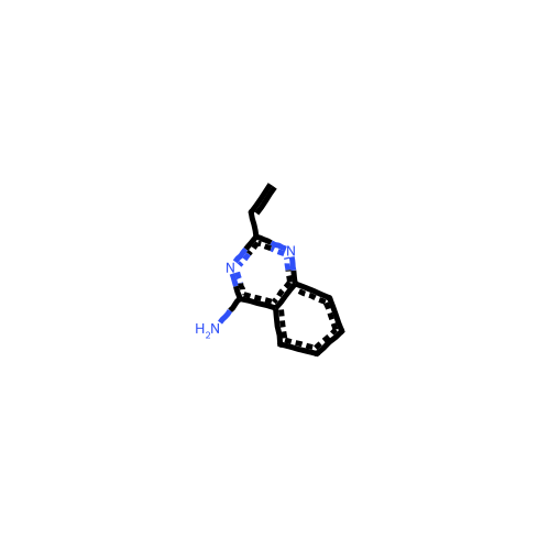 C=Cc1nc(N)c2ccccc2n1